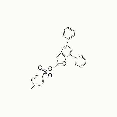 Cc1ccc(S(=O)(=O)OCC2Cc3cc(-c4ccccc4)cc(-c4ccccc4)c3O2)cc1